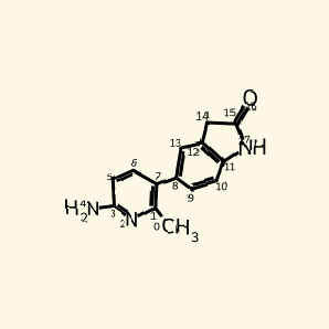 Cc1nc(N)ccc1-c1ccc2c(c1)CC(=O)N2